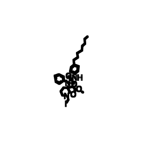 CCCCCCCCc1ccc(NS(=O)(=O)N(c2ccccc2)C2(CC(=O)OC)CCCN(CI)C2)cc1